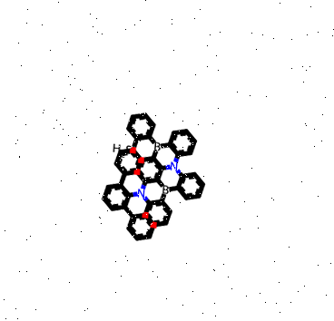 c1ccc(-c2cccc(-c3ccccc3)c2N2c3ccccc3B3c4ccccc4N4c5ccccc5B5c6ccccc6[SiH2]c6cc2c3c4c65)cc1